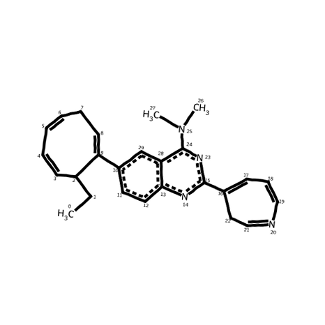 CCC1/C=C\C=C/C/C=C\1c1ccc2nc(C3=CC=CN=CC3)nc(N(C)C)c2c1